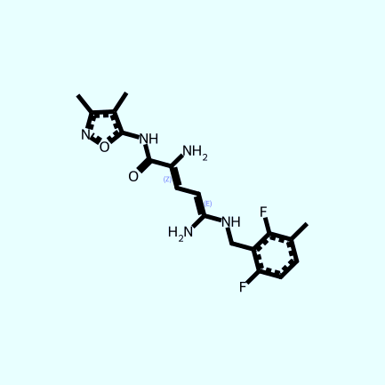 Cc1ccc(F)c(CN/C(N)=C/C=C(\N)C(=O)Nc2onc(C)c2C)c1F